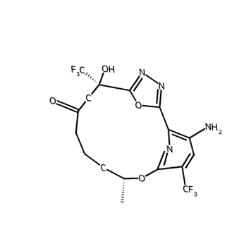 C[C@@H]1CCCC(=O)C[C@](O)(C(F)(F)F)c2nnc(o2)-c2nc(c(C(F)(F)F)cc2N)O1